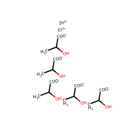 CC(O)C(=O)[O-].CC(O)C(=O)[O-].CC(O)C(=O)[O-].CC(O)C(=O)[O-].CC(O)C(=O)[O-].[Cr+3].[Zn+2]